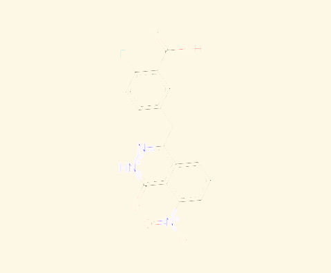 O=C(O)c1cc(Cc2n[nH]c(=O)c3c([N+](=O)[O-])cccc23)ccc1F